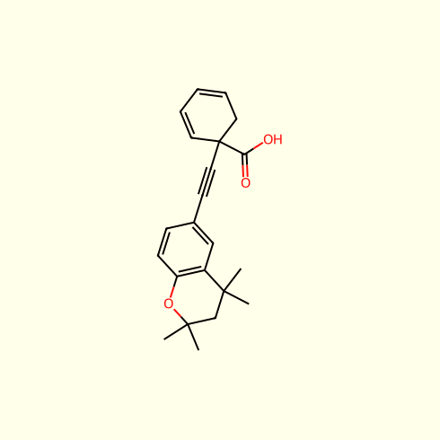 CC1(C)CC(C)(C)c2cc(C#CC3(C(=O)O)C=CC=CC3)ccc2O1